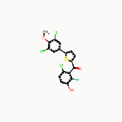 COc1c(Cl)cc(-c2ccc(C(=O)c3c(Cl)ccc(O)c3F)s2)cc1Cl